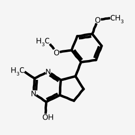 COc1ccc(C2CCc3c(O)nc(C)nc32)c(OC)c1